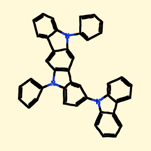 c1ccc(-n2c3ccccc3c3cc4c(cc32)c2cc(-n3c5ccccc5c5ccccc53)ccc2n4-c2ccccc2)cc1